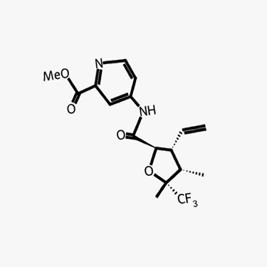 C=C[C@H]1[C@H](C(=O)Nc2ccnc(C(=O)OC)c2)O[C@@](C)(C(F)(F)F)[C@H]1C